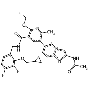 [2H]COc1nc(C)c(-c2ccc3nc(NC(C)=O)cn3n2)cc1C(=O)NCc1ccc(F)c(F)c1OCC1CC1